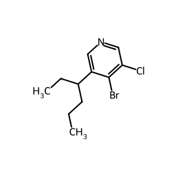 CCCC(CC)c1cncc(Cl)c1Br